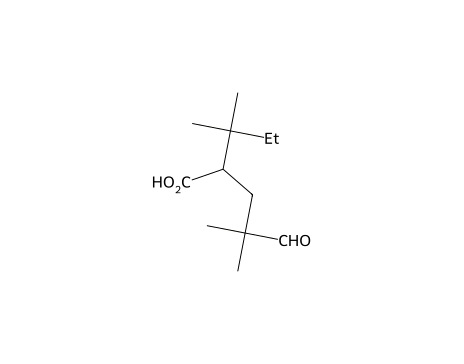 CCC(C)(C)C(CC(C)(C)C=O)C(=O)O